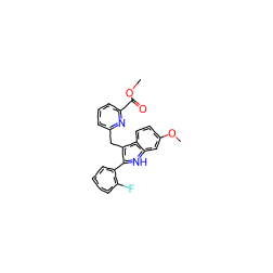 COC(=O)c1cccc(Cc2c(-c3ccccc3F)[nH]c3cc(OC)ccc23)n1